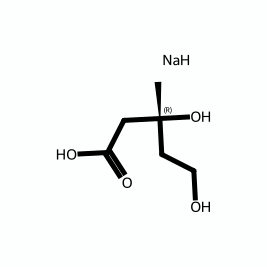 C[C@@](O)(CCO)CC(=O)O.[NaH]